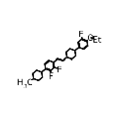 CCOc1ccc(C2CCC(CCc3ccc(C4CCC(C)CC4)c(F)c3F)CC2)cc1F